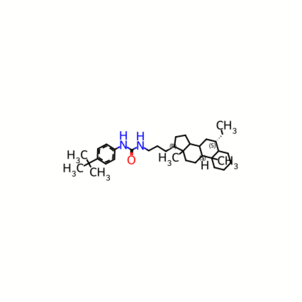 CC[C@H]1CC2C3CC[C@H](CCCNC(=O)Nc4ccc(C(C)(C)C)cc4)C3(C)CC[C@@H]2C2(C)CCCCC12